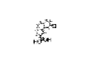 OB(O)c1ccc2ccc3ccc(Cl)cc3c2c1